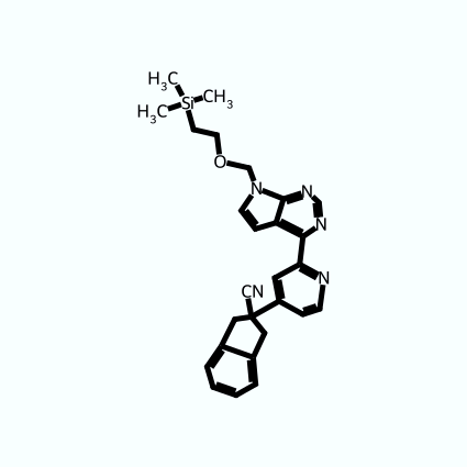 C[Si](C)(C)CCOCn1ccc2c(-c3cc(C4(C#N)Cc5ccccc5C4)ccn3)ncnc21